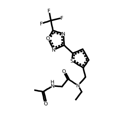 CCN(Cc1ccc(-c2noc(C(F)(F)F)n2)s1)C(=O)CNC(C)=O